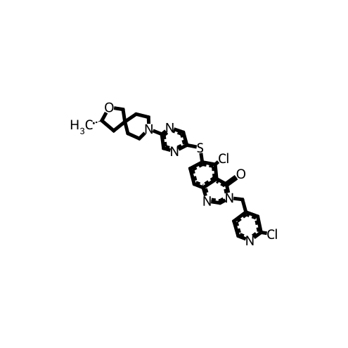 C[C@H]1CC2(CCN(c3cnc(Sc4ccc5ncn(Cc6ccnc(Cl)c6)c(=O)c5c4Cl)cn3)CC2)CO1